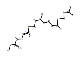 CCC(=O)OC/C=C(\C)CCCC(C)CCCC(C)CCCC(C)C